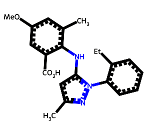 CCc1ccccc1-n1nc(C)cc1Nc1c(C)cc(OC)cc1C(=O)O